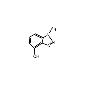 Oc1cccc2c1nn[n]2[Ag]